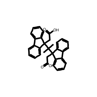 CC(C)(C1(CC(=O)O)c2ccccc2-c2ccccc21)C1(CC(=O)O)c2ccccc2-c2ccccc21